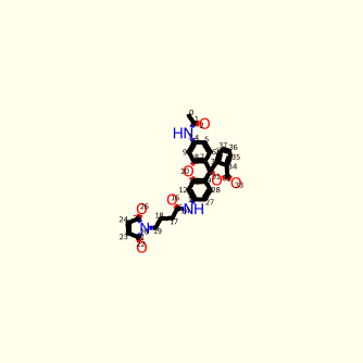 CC(=O)Nc1ccc2c(c1)Oc1cc(NC(=O)CCCN3C(=O)C=CC3=O)ccc1C21OC(=O)c2ccccc21